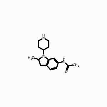 CC(=O)Nc1ccc2c(c1)N(C1CCNCC1)C(C)C2